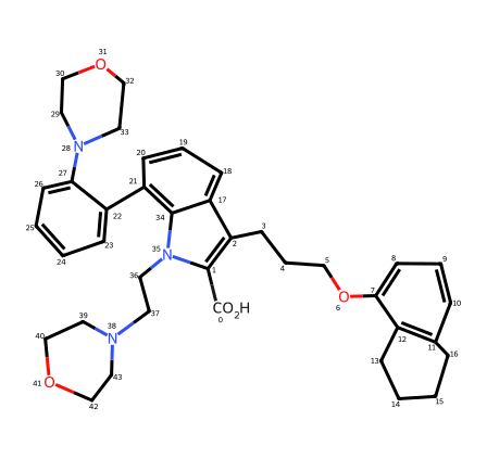 O=C(O)c1c(CCCOc2cccc3c2CCCC3)c2cccc(-c3ccccc3N3CCOCC3)c2n1CCN1CCOCC1